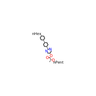 CCCCCCc1ccc(-c2ccc(-c3ncc(OC(=O)[C@H](C)OCCCCC)cn3)cc2)cc1